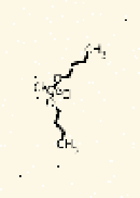 CCCC[O][Ge]([Cl])([Cl])[O]CCCC